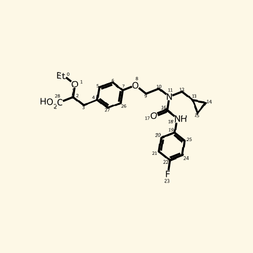 CCOC(Cc1ccc(OCCN(CC2CC2)C(=O)Nc2ccc(F)cc2)cc1)C(=O)O